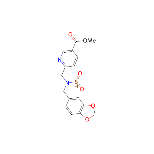 COC(=O)c1ccc(CN(Cc2ccc3c(c2)OCO3)[SH](=O)=O)nc1